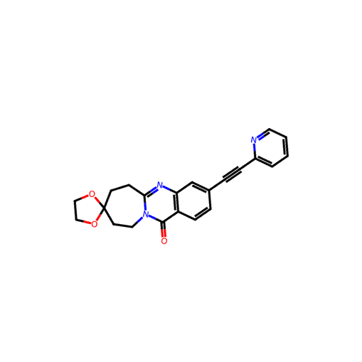 O=c1c2ccc(C#Cc3ccccn3)cc2nc2n1CCC1(CC2)OCCO1